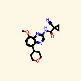 COc1ccc(C2CCOCC2)c2ncc(NC(=O)C3(C#N)CC3)nc12